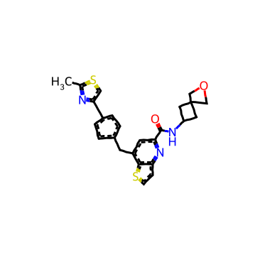 Cc1nc(-c2ccc(Cc3cc(C(=O)NC4CC5(COC5)C4)nc4ccsc34)cc2)cs1